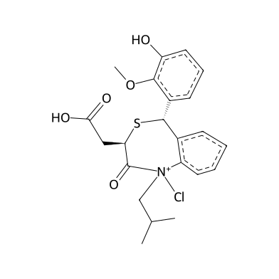 COc1c(O)cccc1[C@H]1S[C@H](CC(=O)O)C(=O)[N+](Cl)(CC(C)C)c2ccccc21